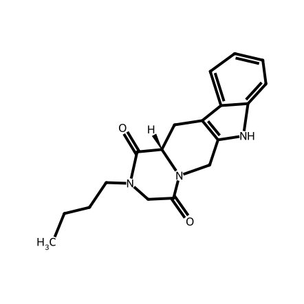 CCCCN1CC(=O)N2Cc3[nH]c4ccccc4c3C[C@H]2C1=O